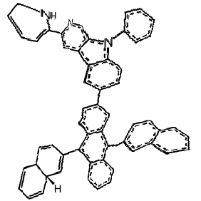 C1=CCNC(c2cc3c4cc(-c5ccc6c(C7=C[C@@H]8C=CC=CC8C=C7)c7ccccc7c(-c7ccc8ccccc8c7)c6c5)ccc4n(-c4ccccc4)c3cn2)=C1